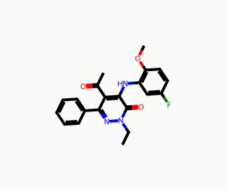 CCn1nc(-c2ccccc2)c(C(C)=O)c(Nc2cc(F)ccc2OC)c1=O